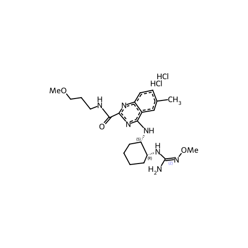 COCCCNC(=O)c1nc(N[C@H]2CCCC[C@H]2N/C(N)=N\OC)c2cc(C)ccc2n1.Cl.Cl